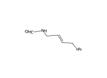 CCCC/C=C/CN[C]=O